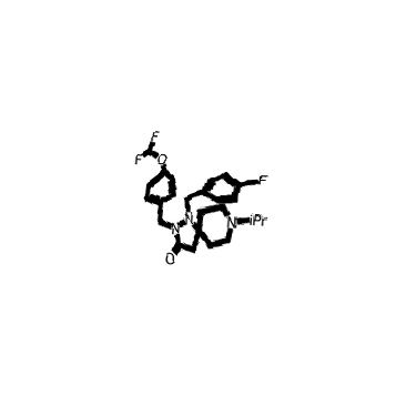 CC(C)N1CCC2(CC1)CC(=O)N(Cc1ccc(OC(F)F)cc1)N2Cc1ccc(F)cc1